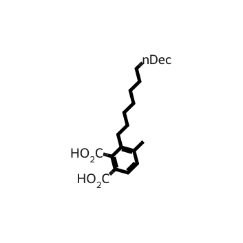 CCCCCCCCCCCCCCCCCc1c(C)ccc(C(=O)O)c1C(=O)O